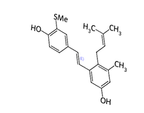 CSc1cc(/C=C/c2cc(O)cc(C)c2CC=C(C)C)ccc1O